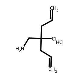 C=CCC(Cl)(CN)CC=C.Cl